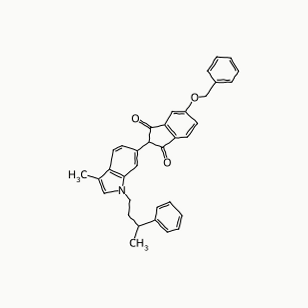 Cc1cn(CCC(C)c2ccccc2)c2cc(C3C(=O)c4ccc(OCc5ccccc5)cc4C3=O)ccc12